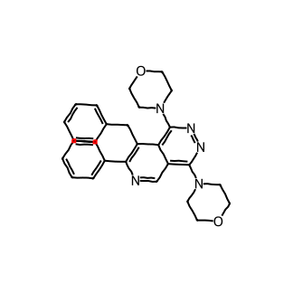 c1ccc(Cc2c(-c3ccccc3)ncc3c(N4CCOCC4)nnc(N4CCOCC4)c23)cc1